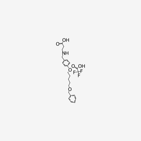 O=C(O)C(F)(F)F.O=C(O)CCNCc1ccc(OCCCCCOCc2ccccc2)cc1